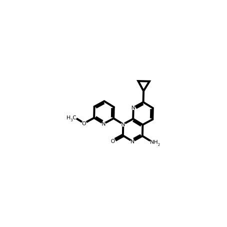 COc1cccc(-n2c(=O)nc(N)c3ccc(C4CC4)nc32)n1